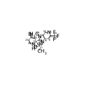 CCS(=O)(=O)C1(c2nc3cc(C(F)(F)F)ncc3n2C)C=C(Br)C=CN1